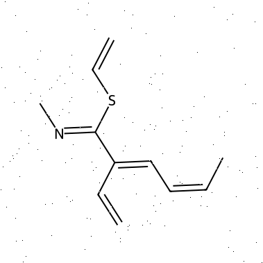 C=CSC(=N\C)/C(C=C)=C/C=C\C